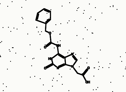 O=C(O)Cn1cnc2c(NC(=O)OCc3ccccc3)[nH]c(=O)nc21